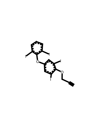 C#CCOc1c(I)cc(Oc2c(I)c[c]cc2I)cc1I